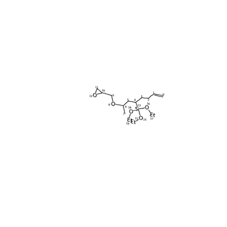 C=CCCC(CC(C)OCC1CO1)[Si](OCC)(OCC)OCC